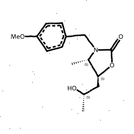 COc1ccc(CN2C(=O)O[C@@H](C[C@H](C)O)[C@@H]2C)cc1